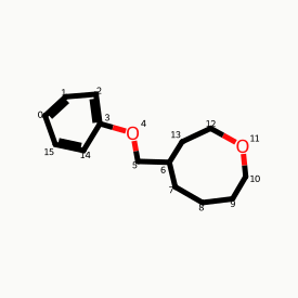 c1ccc(OCC2CCCCOCC2)cc1